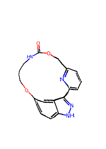 O=C1NCCCOc2ccc3[nH]nc(c3c2)-c2cccc(n2)CO1